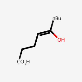 CCCCC(O)=CCCC(=O)O